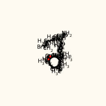 C=C(CBr)C(=O)OC(C)(C)CCCCC(=O)N[C@H](C(=O)N[C@@H](CCCNC(N)=O)C(=O)Nc1ccc2cc(C(=O)N(C)[C@@H](C)C(=O)O[C@H]3CC(=O)N(C)c4cc(cc(OC)c4Cl)C/C(C)=C/C=C/[C@@H](OC)[C@@]4(O)C[C@H](OC(=O)N4)[C@@H](C)[C@@H]4O[C@@]34C)ccc2n1)C(C)C